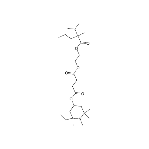 CCCC(C)(C(=O)OCCOC(=O)CCC(=O)OC1CC(C)(C)N(C)C(C)(CC)C1)C(C)C